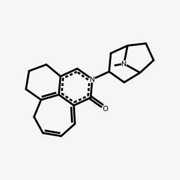 CN1C2CCC1CC(n1cc3c4c(c1=O)=CC=CCC=4CCC3)C2